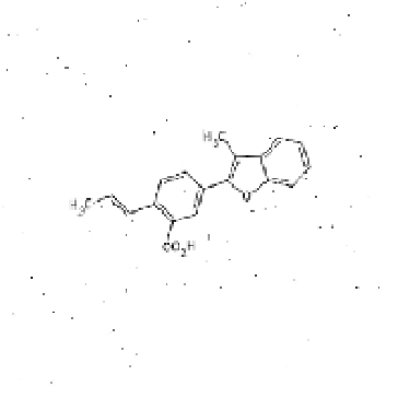 CC=Cc1ccc(-c2oc3ccccc3c2C)cc1C(=O)O